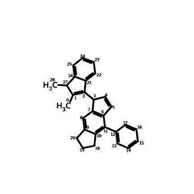 CC1=C(C2C=Cc3c2cc2c(c3-c3ccccc3)CCC2)c2ccccc2C1C